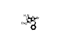 CCOc1nc(N)c2nc(Br)n(Cc3ccccc3)c2n1